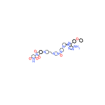 Nc1ncnc2c1c(-c1ccc(Oc3ccccc3)cc1)nn2[C@@H]1CCCN(C2CCN(C(=O)N3CCN(CCC4CCN(c5ccc6c(c5)C(=O)N(C5CCC(=O)NC5=O)C6=O)CC4)CC3)CC2)C1